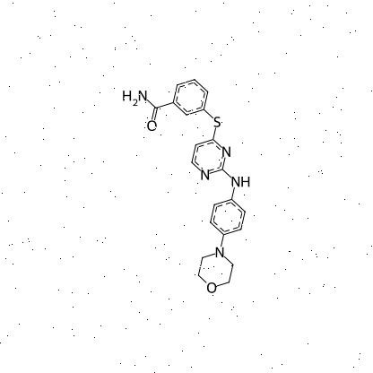 NC(=O)c1cccc(Sc2ccnc(Nc3ccc(N4CCOCC4)cc3)n2)c1